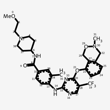 COCCN1CCC(NC(=O)c2ccc(Nc3ncc(C(F)(F)F)c(Oc4cccc5c4CON(C)C5)n3)c(C)c2)CC1